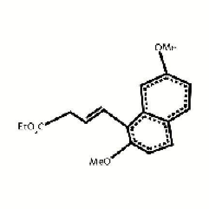 CCOC(=O)CC=Cc1c(OC)ccc2ccc(OC)cc12